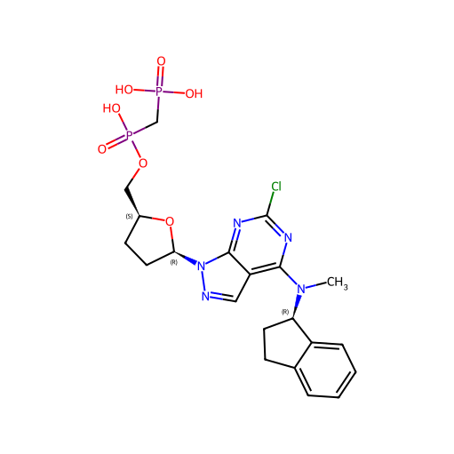 CN(c1nc(Cl)nc2c1cnn2[C@H]1CC[C@@H](COP(=O)(O)CP(=O)(O)O)O1)[C@@H]1CCc2ccccc21